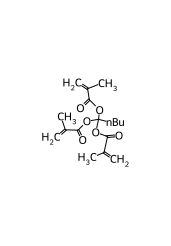 C=C(C)C(=O)OC(CCCC)(OC(=O)C(=C)C)OC(=O)C(=C)C